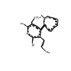 CCCC=Cc1c(C(C)C)nc(C(C)C)c(C(=O)OCC)c1-c1ccccc1C